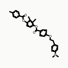 Cc1ccc(C(=O)Oc2ccc(OC(=O)c3ccc(OCCc4ccc(N(C)C)cc4)cc3)c(C)c2C)cc1